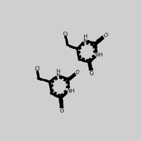 O=c1cc(CCl)[nH]c(=O)[nH]1.O=c1cc(CCl)[nH]c(=O)[nH]1